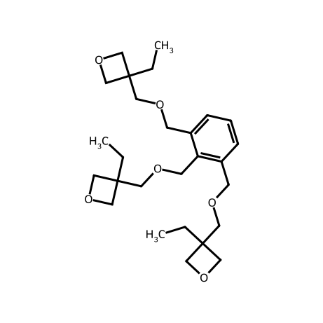 CCC1(COCc2cccc(COCC3(CC)COC3)c2COCC2(CC)COC2)COC1